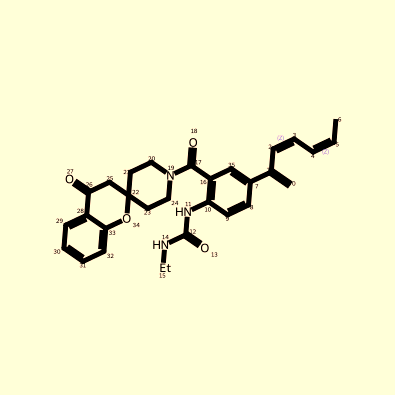 C=C(/C=C\C=C/C)c1ccc(NC(=O)NCC)c(C(=O)N2CCC3(CC2)CC(=O)c2ccccc2O3)c1